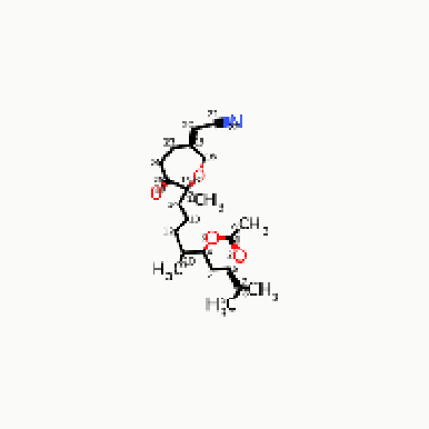 CC(=O)OC(CC=C(C)C)C(C)CCC[C@]1(C)OCC(=CC#N)CCC1=O